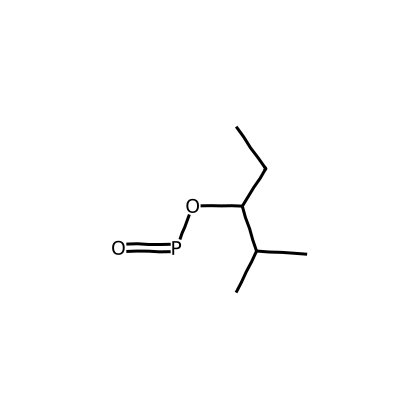 CCC(OP=O)C(C)C